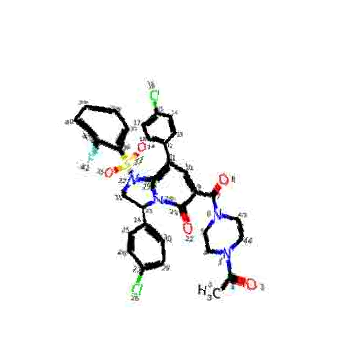 CC(=O)N1CCN(C(=O)c2cc(-c3ccc(Cl)cc3)c3n(c2=O)[C@@H](c2ccc(Cl)cc2)CN3S(=O)(=O)c2ccccc2F)CC1